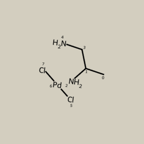 CC(N)CN.[Cl][Pd][Cl]